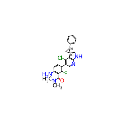 CN(C)C(=O)c1c(N)ccc(-c2cnc3c(c2Cl)[C@]2(CN3)C[C@@H]2c2ccccc2)c1F